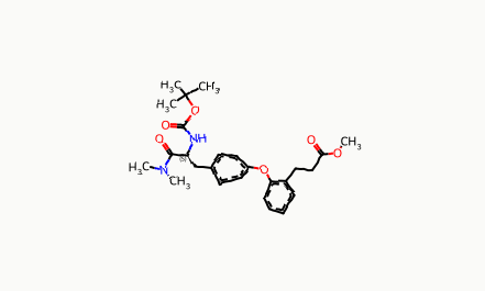 COC(=O)CCc1ccccc1Oc1ccc(C[C@H](NC(=O)OC(C)(C)C)C(=O)N(C)C)cc1